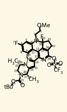 COCCOc1cc(F)cc(F)c1-c1c(-c2cc3n(n2)[C@@H](C)CN(C(=O)OC(C)(C)C)[C@@H]3C)nc(OS(=O)(=O)C(F)(F)F)c2c1C(F)(F)CC2